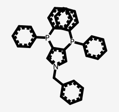 c1ccc(Cn2cc(P(c3ccccc3)c3ccccc3)c(P(c3ccccc3)c3ccccc3)c2)cc1